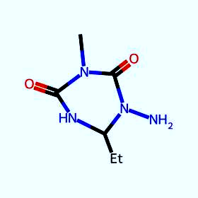 CCC1NC(=O)N(C)C(=O)N1N